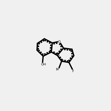 Oc1cccc2oc3ccc(F)c(Br)c3c12